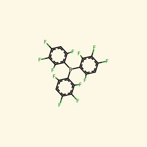 Fc1cc(F)c(B(c2c(F)cc(F)c(F)c2F)c2c(F)cc(F)c(F)c2F)c(F)c1F